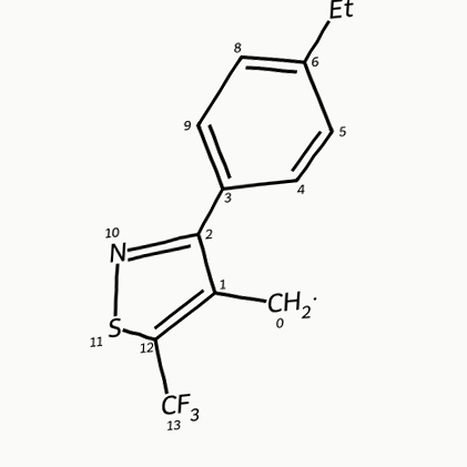 [CH2]c1c(-c2ccc(CC)cc2)nsc1C(F)(F)F